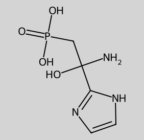 NC(O)(CP(=O)(O)O)c1ncc[nH]1